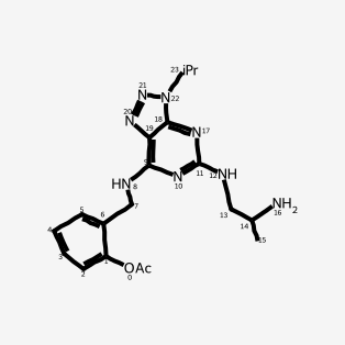 CC(=O)Oc1ccccc1CNc1nc(NCC(C)N)nc2c1nnn2C(C)C